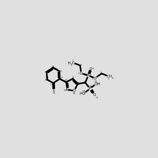 CCOP(=O)(OCC)C(c1cc(C2=CC=CCC2=S)no1)P(=O)(O)O